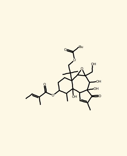 C/C=C(\C)C(=O)OC1CCC2(C(C)(C)COC(=O)C(C)CC)C3OC3(CO)C(O)C3(O)C(=O)C(C)=CC3C2(O)C1C